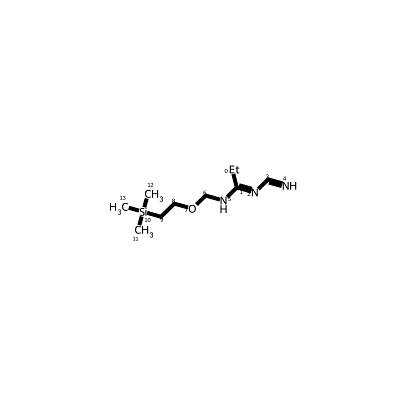 CC/C(=N\C=N)NCOCC[Si](C)(C)C